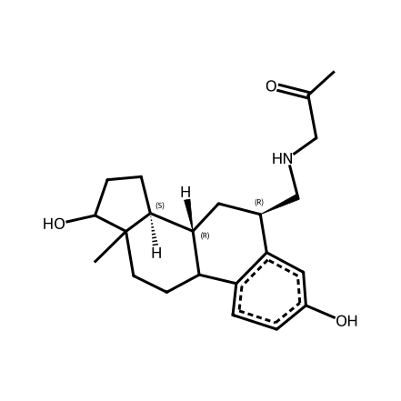 CC(=O)CNC[C@@H]1C[C@@H]2C(CCC3(C)C(O)CC[C@@H]23)c2ccc(O)cc21